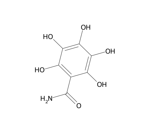 NC(=O)c1c(O)c(O)c(O)c(O)c1O